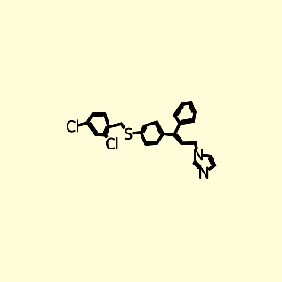 Clc1ccc(CSc2ccc(C(=CCn3ccnc3)c3ccccc3)cc2)c(Cl)c1